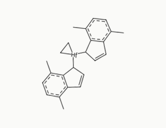 Cc1ccc(C)c2c1C=C[CH]2[Hf]1([CH]2C=Cc3c(C)ccc(C)c32)[CH2][CH2]1